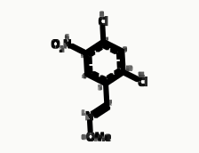 CON=Cc1cc([N+](=O)[O-])c(Cl)cc1Cl